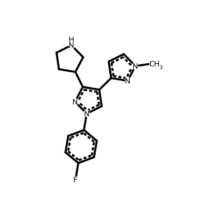 Cn1ccc(-c2cn(-c3ccc(F)cc3)nc2C2CCNC2)n1